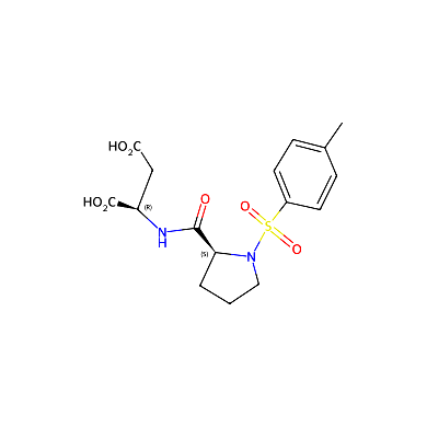 Cc1ccc(S(=O)(=O)N2CCC[C@H]2C(=O)N[C@H](CC(=O)O)C(=O)O)cc1